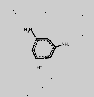 Nc1cccc(N)c1.[H+]